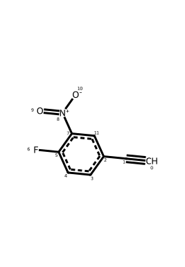 C#Cc1ccc(F)c([N+](=O)[O-])c1